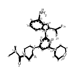 CN(C)C(=O)N1CCN(c2cc(N3CCOCC3)nc(-n3c(C(F)F)nc4c(N)cccc43)n2)CC1